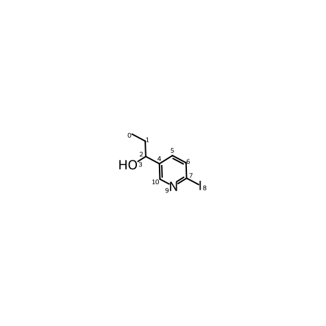 CCC(O)c1ccc(I)nc1